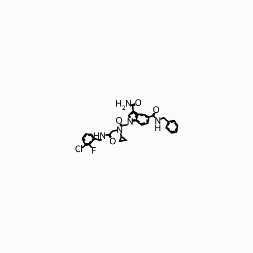 NC(=O)c1cn(CC(=O)N(CC(=O)NCc2cccc(Cl)c2F)C2CC2)c2ccc(C(=O)NCc3ccccc3)cc12